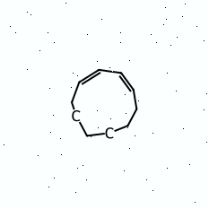 C1=C\CCCCCC\C=C/1